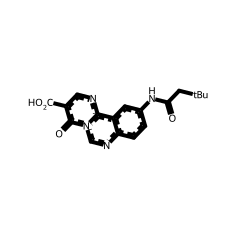 CC(C)(C)CC(=O)Nc1ccc2ncn3c(=O)c(C(=O)O)cnc3c2c1